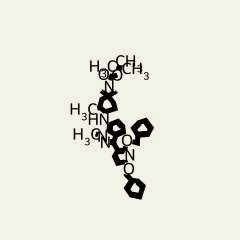 CC1CC2(CCC1Nc1cccc3c(-c4ccc(OCc5ccccc5)nc4OCc4ccccc4)nn(C)c13)CN(C(=O)OC(C)(C)C)C2